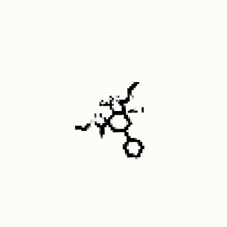 CCOC(=O)[C@]1(O)CC(C2CCCCC2)C[C@](O)(C(=O)OCC)[C@H]1[N+](=O)[O-]